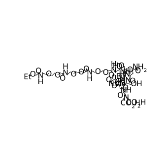 CCCCC(NC(=O)C(CNC(=O)CN(CC(=O)O)CC(=O)O)NC(=O)C(CO)NC(=O)C(CCC(N)=O)NC(=O)C(CO)NC(=O)CNC(=O)COCCOCCNC(=O)COCCOCCNC(=O)COCCOCCNC(=O)COCC)C(=O)NC